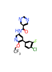 O=C(Nc1cnc(OCC(F)(F)F)c(-c2ccc(Cl)c(F)c2)c1)c1cncnc1